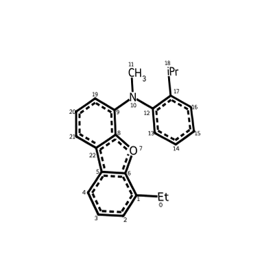 CCc1cccc2c1oc1c(N(C)c3ccccc3C(C)C)cccc12